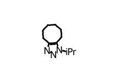 CC(C)n1nnc2c1CCCCCC2